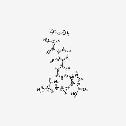 CC(C)CN(C)C(=O)c1cccc(-c2cccc(-n3ncc(C(=O)O)c3C3C[C@H]3c3cn(C)nn3)c2)c1F